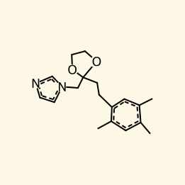 Cc1cc(C)c(CCC2(Cn3ccnc3)OCCO2)cc1C